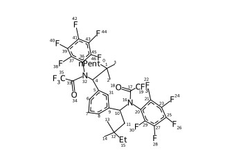 CCCCCC(C)(C)C(c1cccc(C(CC(C)(C)CC)N(C(=O)C(F)(F)F)c2c(F)c(F)c(F)c(F)c2F)c1)N(C(=O)C(F)(F)F)c1c(F)c(F)c(F)c(F)c1F